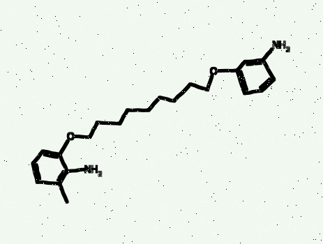 Cc1cccc(OCCCCCCCCCOc2cccc(N)c2)c1N